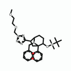 COCCOCn1nnc(C2CC3(c4ccccc4)C(O[Si](C)(C)C(C)(C)C)CCC2N3Cc2ccccc2)n1